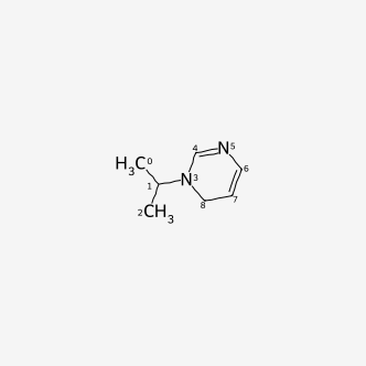 CC(C)N1C=NC=CC1